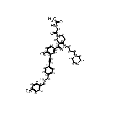 CC(=O)NCC(=O)N1CCc2c(c(-c3ccc(Cl)c(C#Cc4ccc(CNCc5ccc(Cl)cc5)cc4)c3)nn2CCCN2CCOCC2)C1